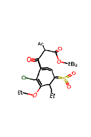 CCOC1=C(Cl)C(C(=O)C(C(C)=O)C(=O)OC(C)(C)C)=CC(=S(=O)=O)C1CC